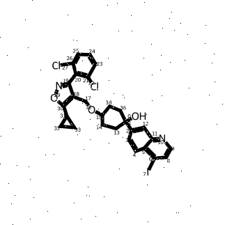 OC1(c2ccc3c(I)ccnc3c2)CCC(OCc2c(-c3c(Cl)cccc3Cl)noc2C2CC2)CC1